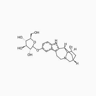 CC[C@H]1C[C@H]2C[C@H]3c4[nH]c5ccc(OC6O[C@H](CO)[C@@H](O)[C@H](O)[C@H]6O)cc5c4CCN(C2)C13